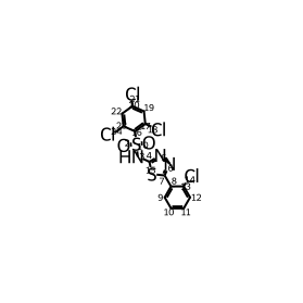 O=S(=O)(Nc1nnc(-c2ccccc2Cl)s1)c1c(Cl)cc(Cl)cc1Cl